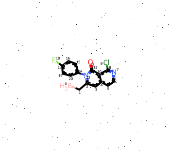 BCc1cc2ccnc(Cl)c2c(=O)n1-c1ccc(F)cc1